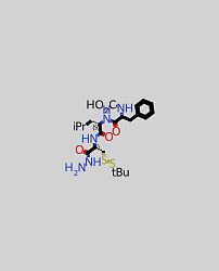 CC(C)C[C@H](NC(=O)C(Cc1ccccc1)NC(=O)O)C(=O)N[C@H](CSSC(C)(C)C)C(=O)NN